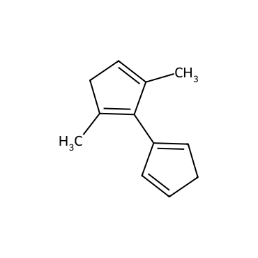 CC1=CCC(C)=C1C1=CCC=C1